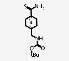 CC(C)(C)OC(=O)NCC12CCC(C(N)=S)(CC1)CC2